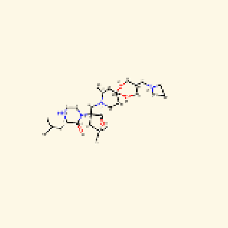 CC(C)C[C@@H]1NCCN([C@](C=O)(CC(C)C)CN2CCC3(C[C@@H]2C)OCC(CN2CCC2)CO3)C1=O